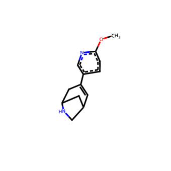 COc1ccc(C2=CC3CNC(C2)C3)cn1